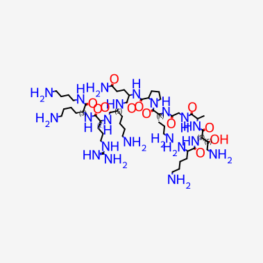 CC(NC(=O)[C@@H](NC(=O)C(N)CCCCN)[C@@H](O)CN)C(=O)NCC(=O)N[C@H](CCCN)C(=O)N1CCCC1C(=O)NC(CCC(N)=O)C(=O)N[C@@H](CCCCN)C(=O)N/C(=C\CCNC(=N)N)C(=O)N[C@@H](CCCCN)C(=O)NCCCCN